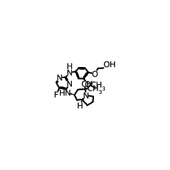 COc1cc(Nc2ncc(F)c(N[C@@H]3C[C@H]4CCCN4C(C)(C)C3)n2)ccc1OCCO